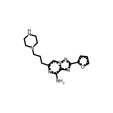 Nc1nc(CCCN2CCNCC2)cn2nc(-c3ccco3)nc12